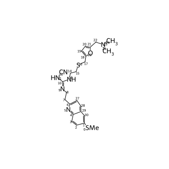 CSc1ccc2nc(CCN=C(NC#N)NCCSCc3ccc(CN(C)C)o3)ccc2c1